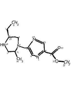 CC[C@H]1CN(c2cnc(C(=O)OC)cn2)C(C)CN1